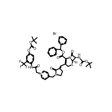 CC(C)(C)OC(=O)N[C@@H]1C(=O)N2C(C(=O)OC(c3ccccc3)c3ccccc3)=C(/C=C3\CCN(Cc4cc[n+](CC(=O)Nc5ccc(OC(=O)OC(C)(C)C)cc5C(F)(F)F)cc4)C3=O)CS[C@H]12.[Br-]